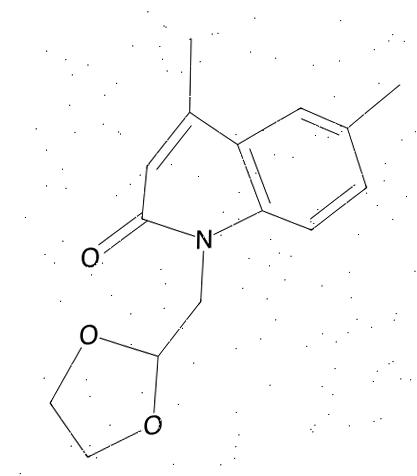 Cc1ccc2c(c1)c(C)cc(=O)n2CC1OCCO1